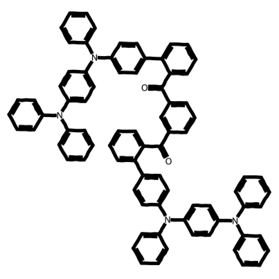 O=C(c1cccc(C(=O)c2ccccc2-c2ccc(N(c3ccccc3)c3ccc(N(c4ccccc4)c4ccccc4)cc3)cc2)c1)c1ccccc1-c1ccc(N(c2ccccc2)c2ccc(N(c3ccccc3)c3ccccc3)cc2)cc1